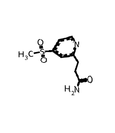 CS(=O)(=O)c1ccnc(CCC(N)=O)c1